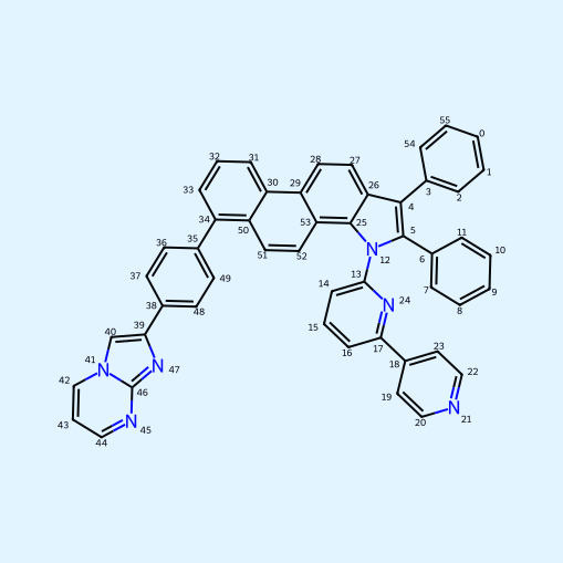 c1ccc(-c2c(-c3ccccc3)n(-c3cccc(-c4ccncc4)n3)c3c2ccc2c4cccc(-c5ccc(-c6cn7cccnc7n6)cc5)c4ccc23)cc1